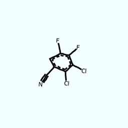 N#Cc1cc(F)c(F)c(Cl)c1Cl